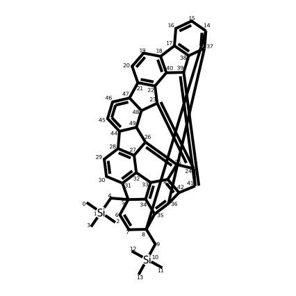 C[Si](C)(C)CC12C=CC3(C[Si](C)(C)C)c4ccc5c6ccc7c8c9c%10c%11c%12c%13c(ccc1c%13c1c2c3c2c4c5c(c86)c%10c2c1%11)C1=C=C=C7C9C1%12